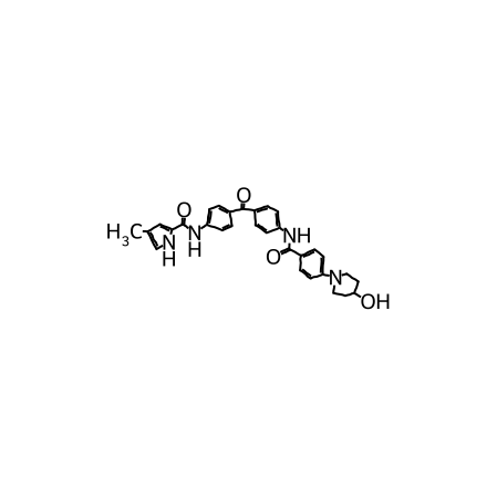 Cc1c[nH]c(C(=O)Nc2ccc(C(=O)c3ccc(NC(=O)c4ccc(N5CCC(O)CC5)cc4)cc3)cc2)c1